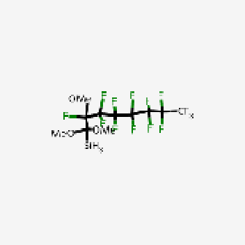 COC([SiH3])(OC)C(F)(OC)C(F)(F)C(F)(F)C(F)(F)C(F)(F)C(F)(F)C(F)(F)F